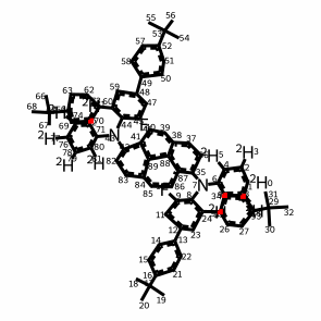 [2H]c1c([2H])c([2H])c(N(c2c(F)cc(-c3ccc(C(C)(C)C)cc3)cc2-c2ccc(C(C)(C)C)cc2)c2ccc3ccc4c(N(c5c(F)cc(-c6ccc(C(C)(C)C)cc6)cc5-c5ccc(C(C)(C)C)cc5)c5c([2H])c([2H])c([2H])c([2H])c5[2H])ccc5ccc2c3c54)c([2H])c1[2H]